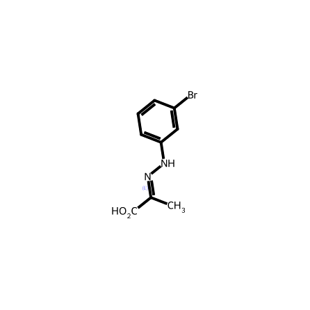 C/C(=N\Nc1cccc(Br)c1)C(=O)O